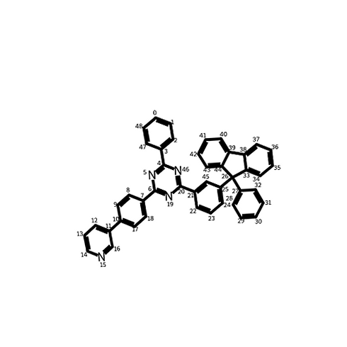 c1ccc(-c2nc(-c3ccc(-c4cccnc4)cc3)nc(-c3cccc(C4(c5ccccc5)c5ccccc5-c5ccccc54)c3)n2)cc1